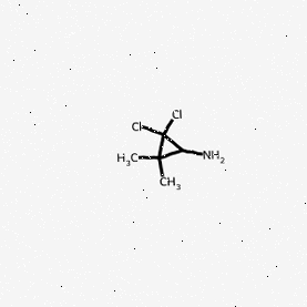 CC1(C)C(N)C1(Cl)Cl